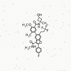 CNC(=O)c1c(-c2ccc(F)cc2)oc2cc(CCC(F)(F)F)c(-c3cc(C(=O)NC4(C)CC(O)C4)c(OC)cc3C)cc12